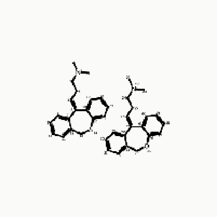 CN(C)CC/C=C1/c2ccccc2CSc2ccccc21.CN(C)CCC=C1c2ccccc2COc2ccccc21